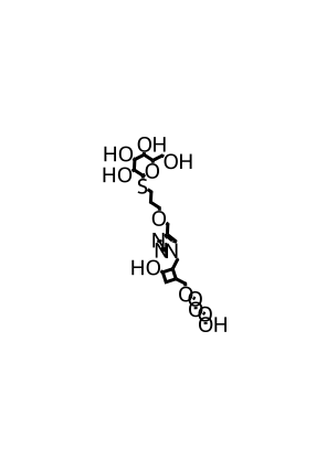 OCC1OC(SCCCOCc2cn(CC3C(O)CC3COOOOO)nn2)C(O)C(O)C1O